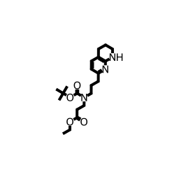 CCOC(=O)CCN(CCCc1ccc2c(n1)NCCC2)C(=O)OC(C)(C)C